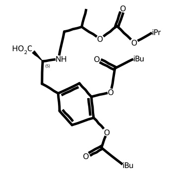 CCC(C)C(=O)Oc1ccc(C[C@H](NCC(C)OC(=O)OC(C)C)C(=O)O)cc1OC(=O)C(C)CC